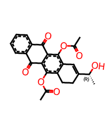 CC(=O)Oc1c2c(c(OC(C)=O)c3c1C(=O)c1ccccc1C3=O)CCC([C@@H](C)O)=C2